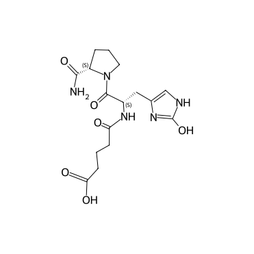 NC(=O)[C@@H]1CCCN1C(=O)[C@H](Cc1c[nH]c(O)n1)NC(=O)CCCC(=O)O